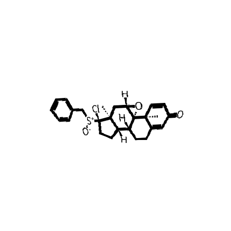 C[C@]12C=CC(=O)C=C1CC[C@@H]1[C@@H]3CC[C@](Cl)([S@+]([O-])Cc4ccccc4)[C@@]3(C)C[C@@H]3O[C@@]312